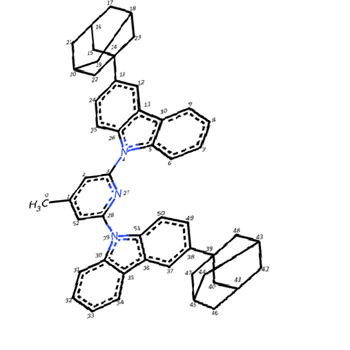 Cc1cc(-n2c3ccccc3c3cc(C45CC6CC(CC(C6)C4)C5)ccc32)nc(-n2c3ccccc3c3cc(C45CC6CC(CC(C6)C4)C5)ccc32)c1